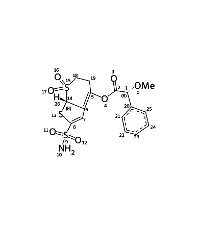 CO[C@@H](C(=O)OC1=C2C=C(S(N)(=O)=O)S[C@@H]2S(=O)(=O)CC1)c1ccccc1